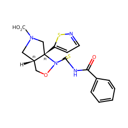 O=C(NC(=S)N1OC[C@@H]2CN(C(=O)O)C[C@@]21c1ccns1)c1ccccc1